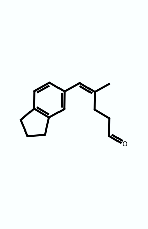 CC(=Cc1ccc2c(c1)CCC2)CCC=O